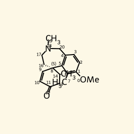 COc1ccc2c(c1C)[C@@]1(C=CC(=O)CC1C)CCN(C)C2